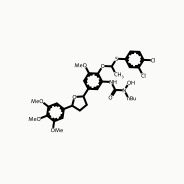 CCCCN(O)C(=O)Nc1cc(C2CCC(c3cc(OC)c(OC)c(OC)c3)O2)cc(OC)c1OC(C)Sc1ccc(Cl)c(Cl)c1